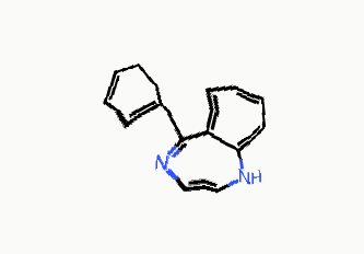 C1=CCCC(C2=NC=CNc3ccccc32)=C1